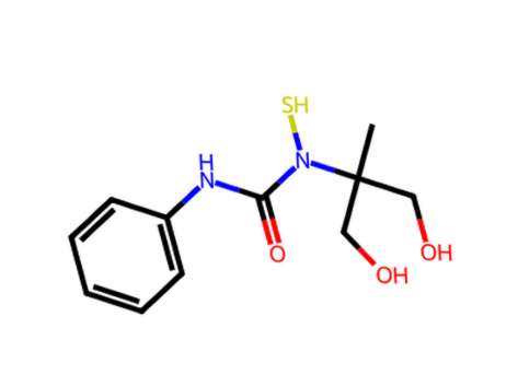 CC(CO)(CO)N(S)C(=O)Nc1ccccc1